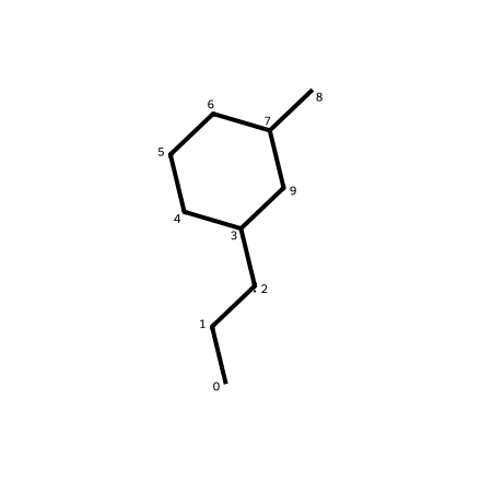 CC[CH]C1CCCC(C)C1